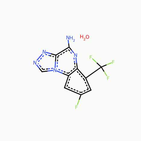 Nc1nc2c(C(F)(F)F)cc(F)cc2n2cnnc12.O